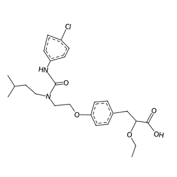 CCOC(Cc1ccc(OCCN(CCC(C)C)C(=O)Nc2ccc(Cl)cc2)cc1)C(=O)O